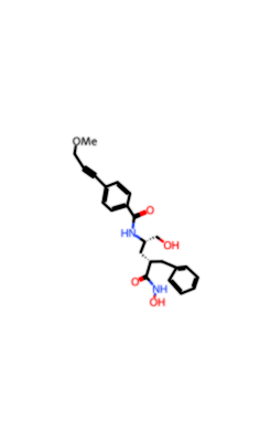 COCC#Cc1ccc(C(=O)N[C@H](CO)C[C@H](Cc2ccccc2)C(=O)NO)cc1